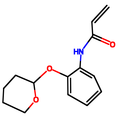 C=CC(=O)Nc1ccccc1OC1CCCCO1